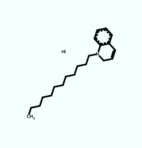 CCCCCCCCCCCCN1CC=Cc2ccccc21.I